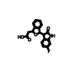 O=C(O)CC1OC(C2C(=O)Nc3cc(F)ccc32)c2ccccc21